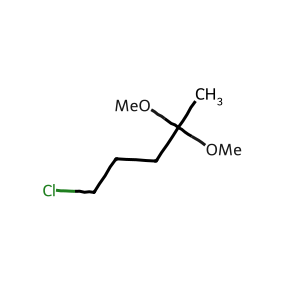 COC(C)(CCCCl)OC